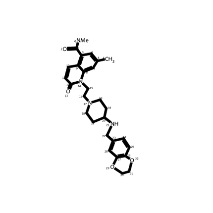 CNC(=O)c1cc(C)cc2c1ccc(=O)n2CCN1CCC(NCc2ccc3c(c2)OCCO3)CC1